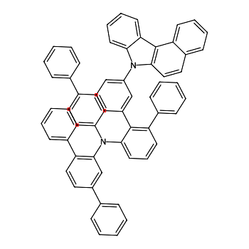 c1ccc(-c2ccc(N(c3cc(-c4ccccc4)ccc3-c3ccccc3)c3cccc(-c4ccccc4)c3-c3cccc(-n4c5ccccc5c5c6ccccc6ccc54)c3)cc2)cc1